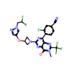 Cn1c(C(F)(F)F)nc2c(-c3ccc(C#N)cc3F)nc(N3CC(Oc4cnn(CC(F)F)c4)C3)nc2c1=O